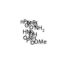 CCCN(CCC)C(=O)c1cc(C(N)=O)cc(C(=O)N[C@@H](Cc2cccc(F)c2)[C@H](O)CNCc2cccc(OC)c2)c1